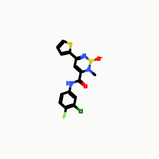 CN1C(C(=O)Nc2ccc(F)c(Cl)c2)=CC(c2cccs2)=N[S+]1[O-]